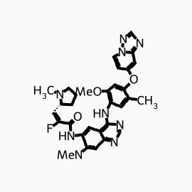 CNc1cc2ncnc(Nc3cc(C)c(Oc4ccn5ncnc5c4)cc3OC)c2cc1NC(=O)/C(F)=C\[C@H]1CCCN1C